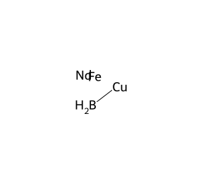 [BH2][Cu].[Fe].[Nd]